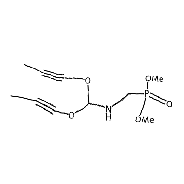 CC#COC(NCP(=O)(OC)OC)OC#CC